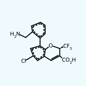 NCc1ccccc1-c1cc(Cl)cc2c1O[C@@H](C(F)(F)F)C(C(=O)O)=C2